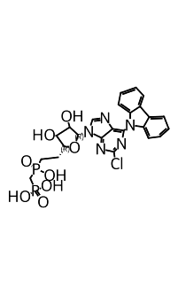 O=P(O)(O)CP(=O)(O)CC[C@H]1O[C@@H](n2cnc3c(-n4c5ccccc5c5ccccc54)nc(Cl)nc32)C(O)C1O